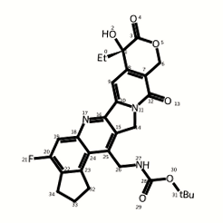 CC[C@@]1(O)C(=O)OCc2c1cc1n(c2=O)Cc2c-1nc1cc(F)c3c(c1c2CNC(=O)OC(C)(C)C)CCC3